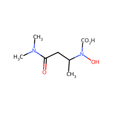 CC(CC(=O)N(C)C)N(O)C(=O)O